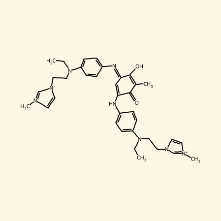 CCN(CCn1cc[n+](C)c1)c1ccc(N=C2C=C(Nc3ccc(N(CC)CCn4cc[n+](C)c4)cc3)C(=O)C(C)=C2O)cc1